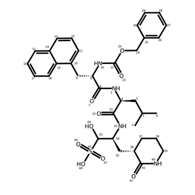 CC(C)C[C@H](NC(=O)[C@H](Cc1cccc2ccccc12)NC(=O)OCc1ccccc1)C(=O)N[C@@H](C[C@@H]1CCCNC1=O)C(O)S(=O)(=O)O